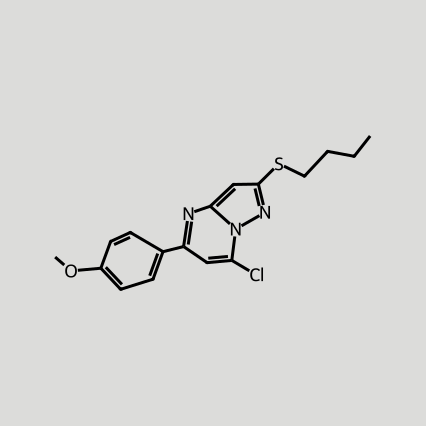 CCCCSc1cc2nc(-c3ccc(OC)cc3)cc(Cl)n2n1